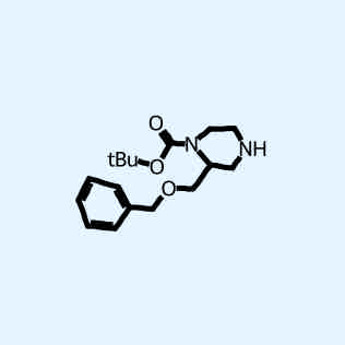 CC(C)(C)OC(=O)N1CCNCC1COCc1ccccc1